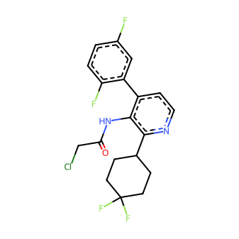 O=C(CCl)Nc1c(-c2cc(F)ccc2F)ccnc1C1CCC(F)(F)CC1